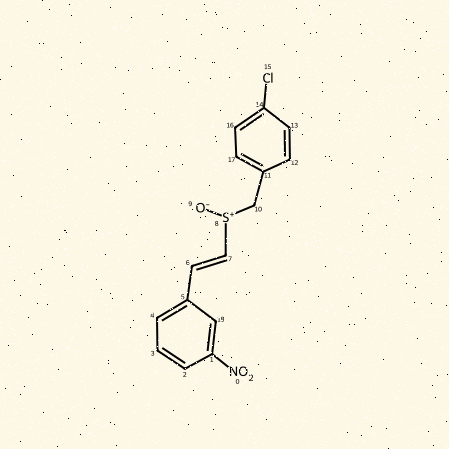 O=[N+]([O-])c1cccc(C=C[S+]([O-])Cc2ccc(Cl)cc2)c1